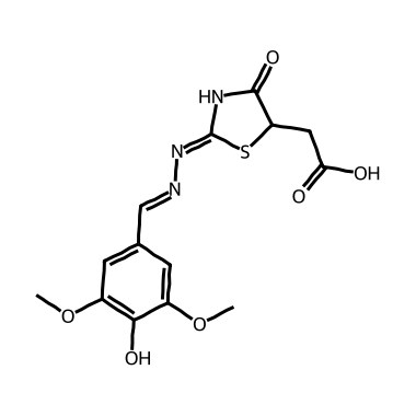 COc1cc(C=NN=C2NC(=O)C(CC(=O)O)S2)cc(OC)c1O